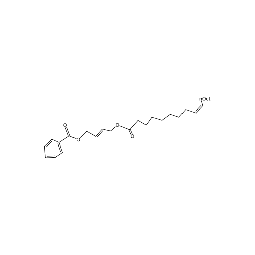 CCCCCCCC/C=C\CCCCCCCC(=O)OCC=CCOC(=O)c1ccccc1